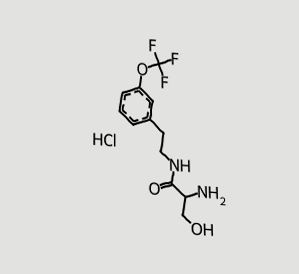 Cl.NC(CO)C(=O)NCCc1cccc(OC(F)(F)F)c1